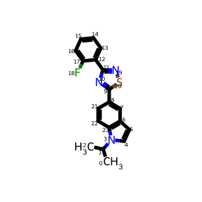 CC(C)n1ccc2cc(-c3nc(-c4ccccc4F)ns3)ccc21